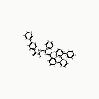 C=C(c1ccc(C2=CCCC=C2)cc1)C(C)NC(/N=C(\C)c1cccc(C2=CC=CCC2c2ncccc2-c2ccccc2)c1)c1ccccc1